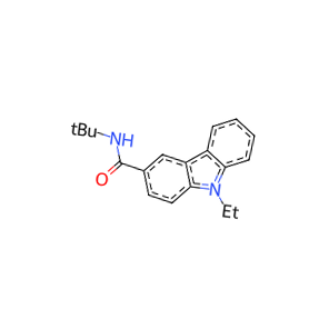 CCn1c2ccccc2c2cc(C(=O)NC(C)(C)C)ccc21